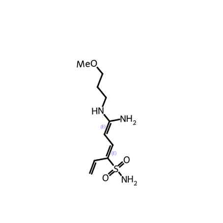 C=C/C(=C\C=C(/N)NCCCOC)S(N)(=O)=O